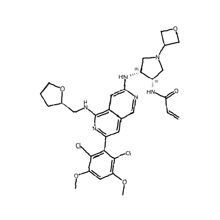 C=CC(=O)N[C@H]1CN(C2COC2)C[C@H]1Nc1cc2c(NCC3CCCO3)nc(-c3c(Cl)c(OC)cc(OC)c3Cl)cc2cn1